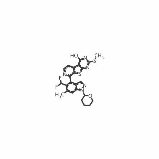 CSc1nc(O)c2c(n1)sc1c(-c3c(C(F)F)c(C)cc4c3cnn4C3CCCCO3)nccc12